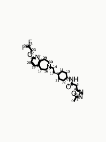 Cc1nnc(CC(=O)N[C@H]2CC[C@H](CCN3CCc4ccc(OCC(F)F)nc4CC3)CC2)o1